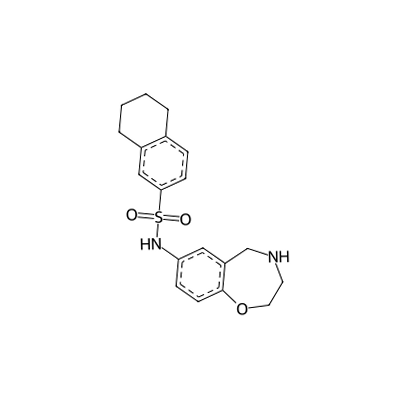 O=S(=O)(Nc1ccc2c(c1)CNCCO2)c1ccc2c(c1)CCCC2